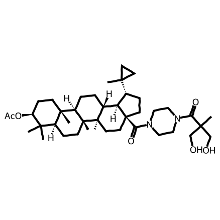 CC(=O)O[C@H]1CC[C@]2(C)[C@H]3CC[C@@H]4[C@H]5[C@H](C6(C)CC6)CC[C@]5(C(=O)N5CCN(C(=O)C(C)(CO)CO)CC5)CC[C@@]4(C)[C@]3(C)CC[C@H]2C1(C)C